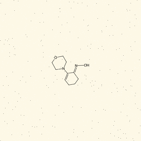 O/N=C1\CCCC=C1N1CCOCC1